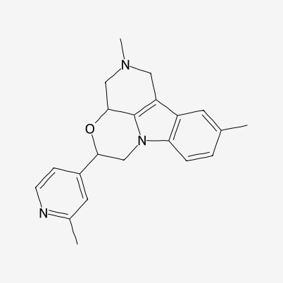 Cc1ccc2c(c1)c1c3n2CC(c2ccnc(C)c2)OC3CN(C)C1